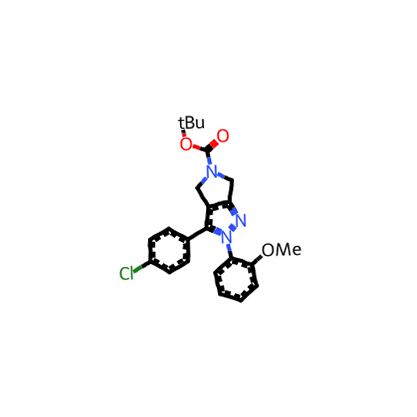 COc1ccccc1-n1nc2c(c1-c1ccc(Cl)cc1)CN(C(=O)OC(C)(C)C)C2